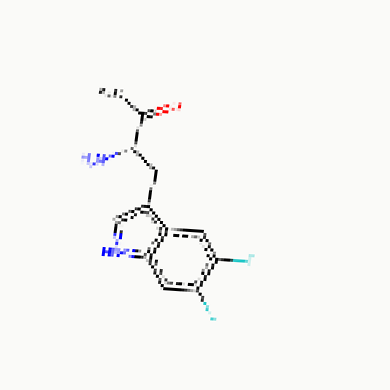 CC(=O)OC(=O)[C@@H](N)Cc1c[nH]c2cc(F)c(F)cc12